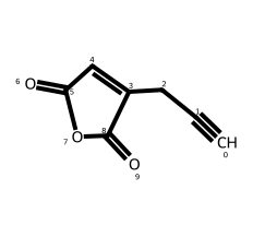 C#CCC1=CC(=O)OC1=O